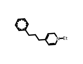 CCN1C=CC(CCCc2ccccc2)=CC1